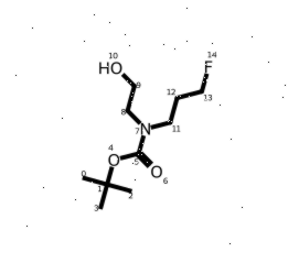 CC(C)(C)OC(=O)N(CCO)CCCF